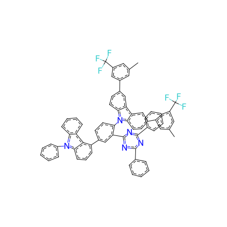 Cc1cc(-c2ccc3c(c2)c2cc(-c4cc(C)cc(C(F)(F)F)c4)ccc2n3-c2ccc(-c3cccc4c3c3ccccc3n4-c3ccccc3)cc2-c2nc(-c3ccccc3)nc(-c3ccccc3)n2)cc(C(F)(F)F)c1